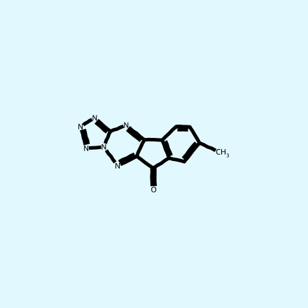 Cc1ccc2c(c1)C(=O)c1nn3nnnc3nc1-2